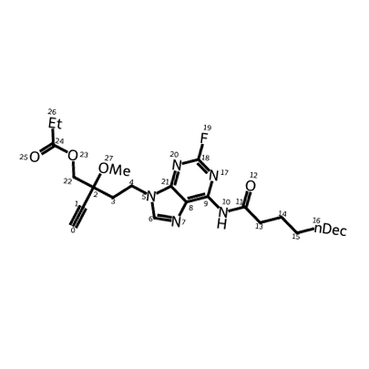 C#CC(CCn1cnc2c(NC(=O)CCCCCCCCCCCCC)nc(F)nc21)(COC(=O)CC)OC